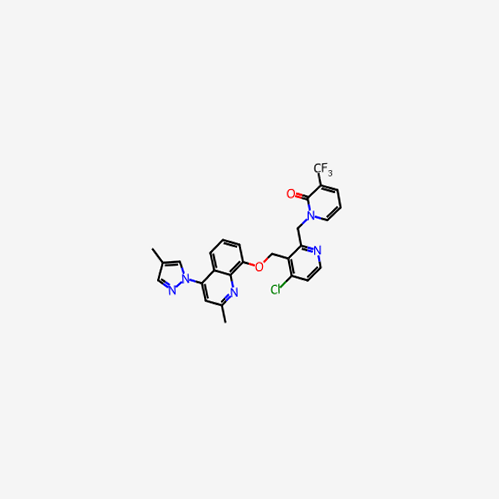 Cc1cnn(-c2cc(C)nc3c(OCc4c(Cl)ccnc4Cn4cccc(C(F)(F)F)c4=O)cccc23)c1